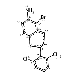 Cc1cccc(Cl)c1-c1ccc2c(Br)c(N)ncc2c1